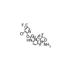 C[C@]1(c2nc(NC(=O)Oc3ncc(C(F)(F)F)cc3Cl)ccc2F)N=C(N)OCC1(F)F